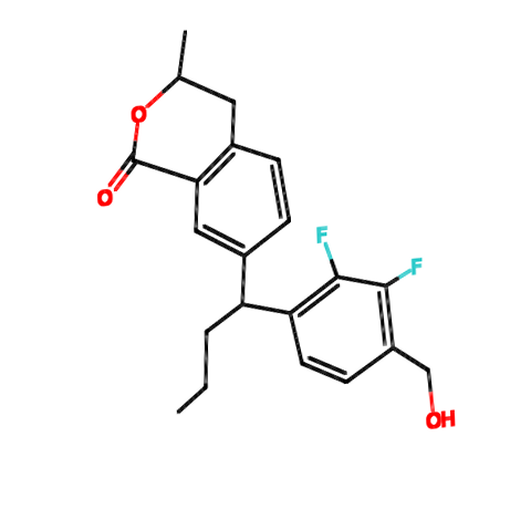 CCCC(c1ccc2c(c1)C(=O)OC(C)C2)c1ccc(CO)c(F)c1F